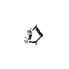 C1=[CH][Sb]=[Sb][CH2]1